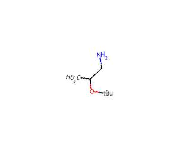 CC(C)(C)OC(CN)C(=O)O